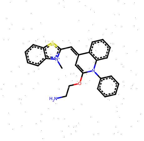 C[n+]1c(C=C2C=C(OCCN)N(c3ccccc3)c3ccccc32)sc2ccccc21